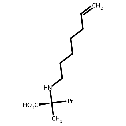 C=CCCCCCN[C@](C)(C(=O)O)C(C)C